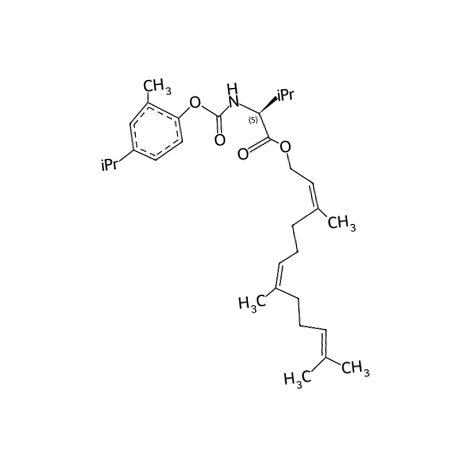 CC(C)=CCCC(C)=CCCC(C)=CCOC(=O)[C@@H](NC(=O)Oc1ccc(C(C)C)cc1C)C(C)C